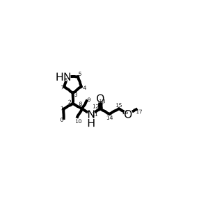 CCC(C1CCNC1)C(C)(C)NC(=O)CCOC